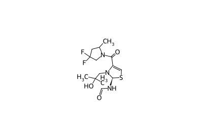 CC1CC(F)(F)CN1C(=O)C1=CS[C@@H](NC=O)N1CC(C)(C)O